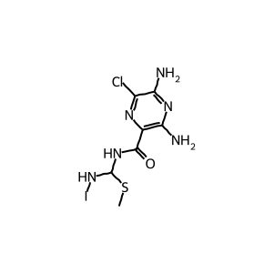 CSC(NI)NC(=O)c1nc(Cl)c(N)nc1N